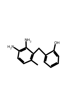 Cc1ccc(N)c(N)c1Cc1ccccc1O